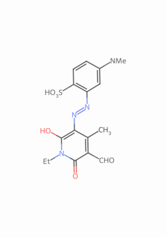 CCn1c(O)c(N=Nc2cc(NC)ccc2S(=O)(=O)O)c(C)c(C=O)c1=O